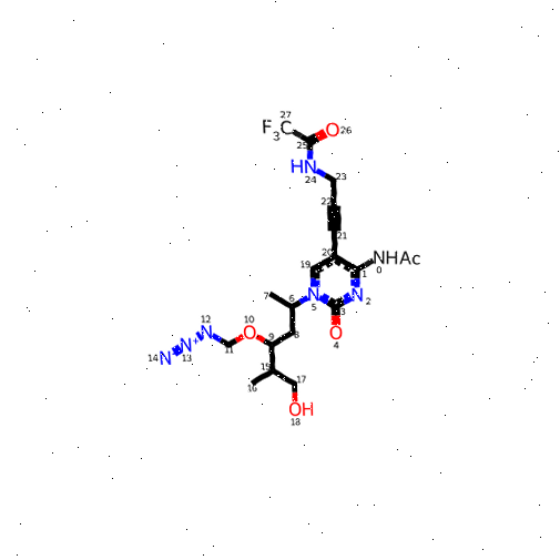 CC(=O)Nc1nc(=O)n(C(C)CC(OCN=[N+]=[N-])C(C)CO)cc1C#CCNC(=O)C(F)(F)F